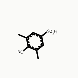 Cc1cc(S(=O)(=O)O)cc(C)c1C#N